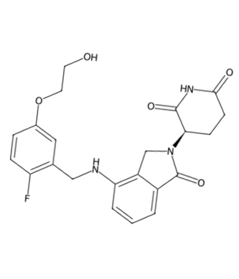 O=C1CC[C@@H](N2Cc3c(NCc4cc(OCCO)ccc4F)cccc3C2=O)C(=O)N1